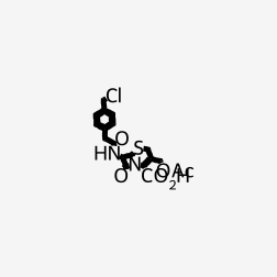 CC(=O)OCC1=C(C(=O)O)N2C(=O)C(NC(=O)Cc3ccc(CCl)cc3)C2SC1